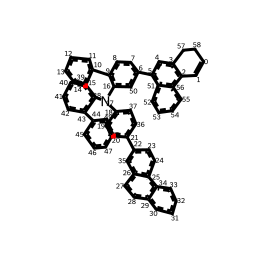 C1=Cc2c(cc(-c3ccc(-c4ccccc4)c(N(c4ccc(-c5ccc6c(ccc7ccccc76)c5)cc4)c4ccccc4-c4ccccc4)c3)c3ccccc23)CC1